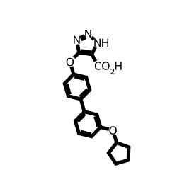 O=C(O)c1[nH]nnc1Oc1ccc(-c2cccc(OC3CCCC3)c2)cc1